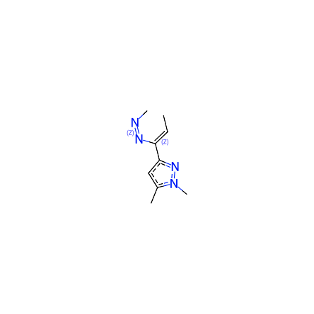 C/C=C(\N=N/C)c1cc(C)n(C)n1